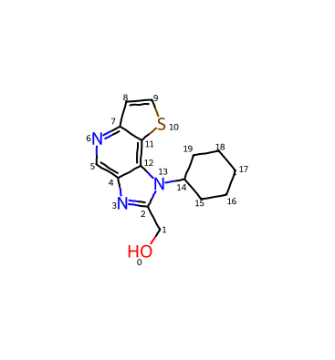 OCc1nc2cnc3ccsc3c2n1C1CC[CH]CC1